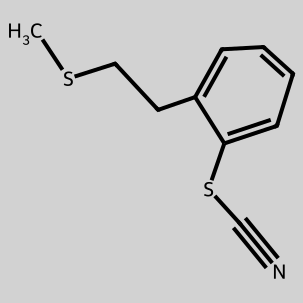 CSCCc1ccccc1SC#N